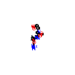 COC(=O)c1cccc2ccc(-c3ccc(-c4cnn(CC56CC7(C)CC(C)(C5)CC(OCCN=[N+]=[N-])(C7)C6)c4C)c(C(=O)OC(C)(C)C)n3)cc12